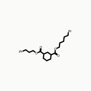 CC(C)CCCCCOC(=O)C1CCCC(C(=O)OCCCC(C)C)C1